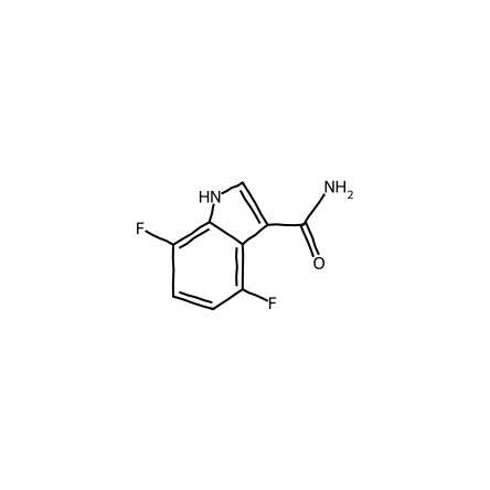 NC(=O)c1c[nH]c2c(F)ccc(F)c12